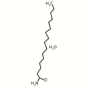 CCCCCCCCCCCCCCCC(N)Cl.O